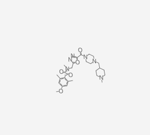 COc1cc(C)c(S(=O)(=O)N(C)Cc2nnc(C(=O)N3CCN(CC4CCN(C)CC4)CC3)o2)c(C)c1